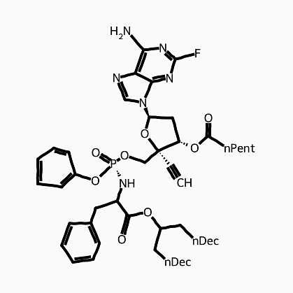 C#C[C@]1(CO[P@@](=O)(NC(Cc2ccccc2)C(=O)OC(CCCCCCCCCCC)CCCCCCCCCCC)Oc2ccccc2)O[C@@H](n2cnc3c(N)nc(F)nc32)C[C@@H]1OC(=O)CCCCC